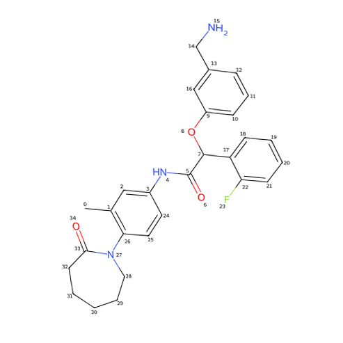 Cc1cc(NC(=O)C(Oc2cccc(CN)c2)c2ccccc2F)ccc1N1CCCCCC1=O